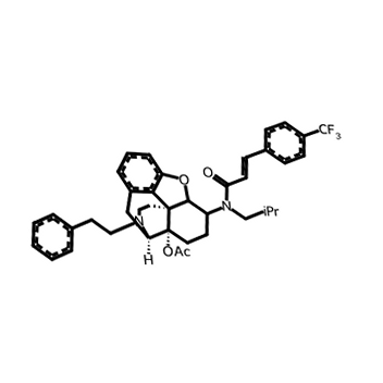 CC(=O)O[C@@]12CCC(N(CC(C)C)C(=O)/C=C/c3ccc(C(F)(F)F)cc3)C3Oc4cccc5c4[C@@]31CCN(CCc1ccccc1)[C@@H]2C5